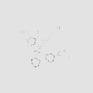 COCCOCN(c1onc(C)c1C)S(=O)(=O)c1ccccc1-c1ccc(N(C)C)cc1